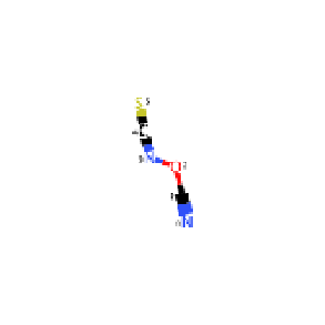 N#CON=C=S